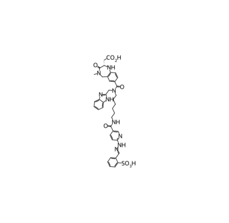 CN1Cc2cc(C(=O)N(CCCCCCNC(=O)c3ccc(N/N=C/c4ccccc4S(=O)(=O)O)nc3)Cc3nc4ccccc4[nH]3)ccc2N[C@@H](CC(=O)O)C1=O